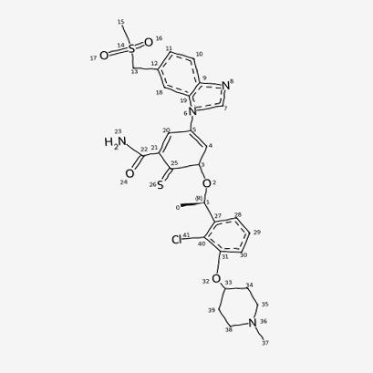 C[C@@H](OC1C=C(n2cnc3ccc(CS(C)(=O)=O)cc32)C=C(C(N)=O)C1=S)c1cccc(OC2CCN(C)CC2)c1Cl